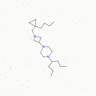 CCCCC1(CN2CC(N3CCN(C(CCC)CCC)CC3)C2)CC1